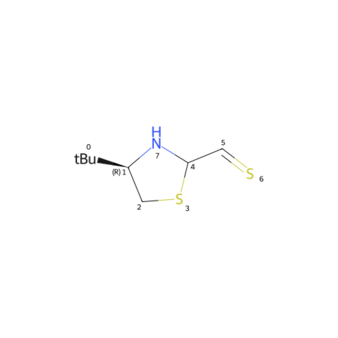 CC(C)(C)[C@@H]1CSC(C=S)N1